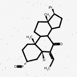 C/C=C1/C(=O)C2C3CC[C@H](C(C)C)[C@@]3(C)CCC2[C@@]2(C)CC[C@@H](P=O)C[C@@H]12